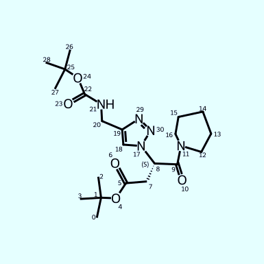 CC(C)(C)OC(=O)C[C@@H](C(=O)N1CCCCC1)n1cc(CNC(=O)OC(C)(C)C)nn1